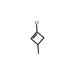 CC1C=C(Cl)C1